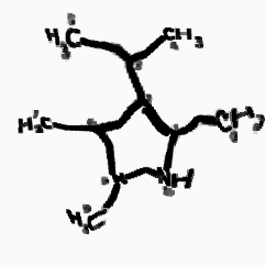 CC1=C(C(C)C)C(C)N(C)N1